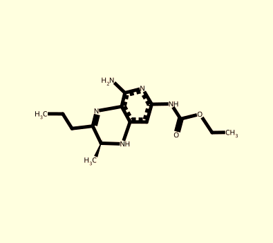 CCCC1=Nc2c(cc(NC(=O)OCC)nc2N)N[C@H]1C